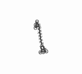 CC12C=CCCC1C(=O)OC2=O.CCCCCCCCCCCCC1CC(=O)OC1=O